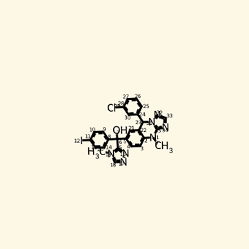 CN1c2ccc(C(O)(c3ccc(I)cc3)c3nncn3C)cc2C(c2cccc(Cl)c2)n2ncnc21